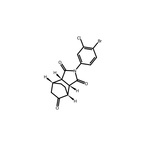 O=C1C[C@H]2CC[C@@H]1[C@H]1C(=O)N(c3ccc(Br)c(Cl)c3)C(=O)[C@@H]21